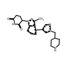 Cc1nn(C2CCC(=O)NC2=O)c2cccc(-c3cnn(CC4CCNCC4)c3)c12